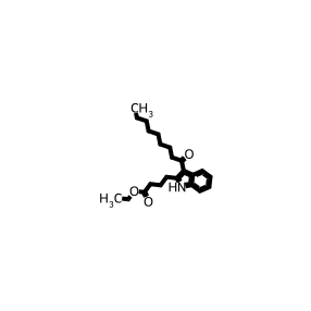 CCCCCCCCC(=O)c1c(CCCC(=O)OCC)[nH]c2ccccc12